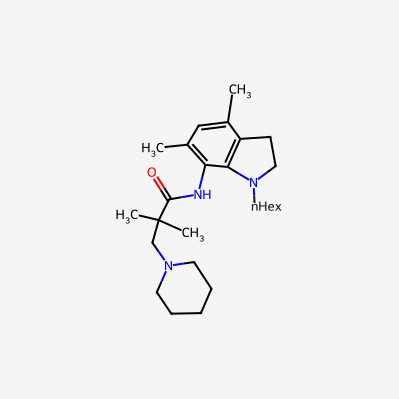 CCCCCCN1CCc2c(C)cc(C)c(NC(=O)C(C)(C)CN3CCCCC3)c21